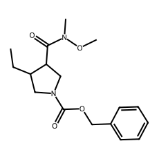 CCC1CN(C(=O)OCc2ccccc2)CC1C(=O)N(C)OC